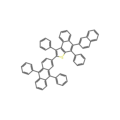 c1ccc(-c2c3ccccc3c(-c3ccccc3)c3cc(-c4sc5c(-c6ccccc6)c(-c6ccc7ccccc7c6)c6ccccc6c5c4-c4ccccc4)ccc23)cc1